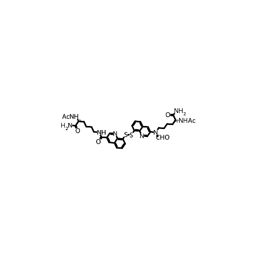 CC(=O)N[C@@H](CCCCNC(=O)c1cnc2c(SSc3cccc4cc(N(C=O)CCCC[C@@H](NC(C)=O)C(N)=O)cnc34)cccc2c1)C(N)=O